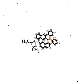 C=CCP(CC=C)Cc1ccc2ccccc2c1-c1c(CP(c2ccccc2)c2ccccc2)ccc2ccccc12